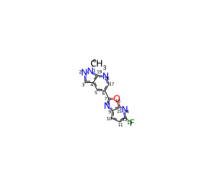 Cn1ncc2cc(-c3nc4ccc(F)nc4o3)cnc21